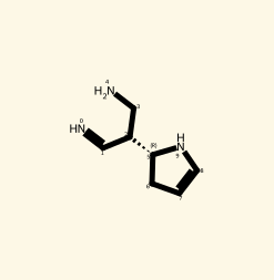 N=CC(CN)[C@H]1CC=CN1